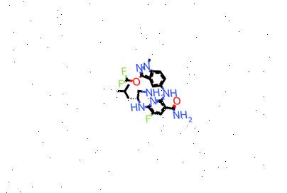 CC(C)C[C@H](CN)Nc1nc(Nc2ccc3c(c2)c(OC(F)F)nn3C)c(C(N)=O)cc1F